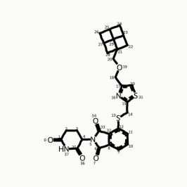 O=C1CCC(N2C(=O)c3cccc(SCc4nc(COCC56CC7CC8CC(C5)C876)cs4)c3C2=O)C(=O)N1